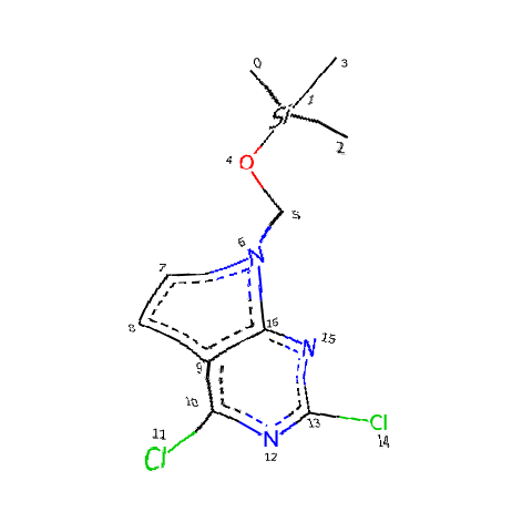 C[Si](C)(C)OCn1ccc2c(Cl)nc(Cl)nc21